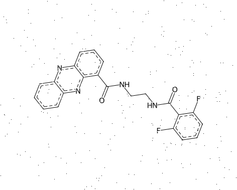 O=C(NCCNC(=O)c1cccc2nc3ccccc3nc12)c1c(F)cccc1F